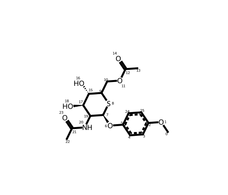 COc1ccc(O[C@@H]2SC(COC(C)=O)[C@@H](O)[C@H](O)C2NC(C)=O)cc1